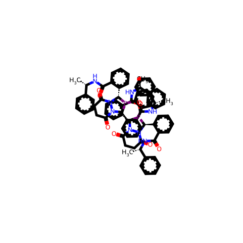 C[C@H](NC(=O)c1ccccc1[C@H]1N2C(=O)CCC(=O)N2[C@H](c2ccccc2C(=O)N[C@@H](C)c2ccccc2)P1c1ccccc1P1[C@@H](c2ccccc2C(=O)N[C@@H](C)c2ccccc2)N2C(=O)CCC(=O)N2[C@@H]1c1ccccc1C(=O)N[C@@H](C)c1ccccc1)c1ccccc1